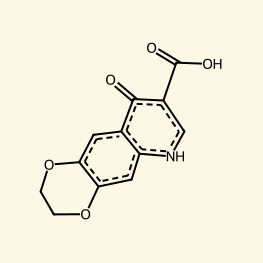 O=C(O)c1c[nH]c2cc3c(cc2c1=O)OCCO3